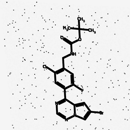 CC(C)(C)OC(=O)NCc1cc(F)c(-c2ncnn3cc(Br)cc23)cc1Cl